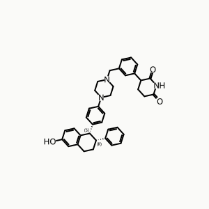 O=C1CCC(c2cccc(CN3CCN(c4ccc([C@H]5c6ccc(O)cc6CC[C@H]5c5ccccc5)cc4)CC3)c2)C(=O)N1